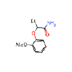 CCC(Oc1ccccc1OC)C(N)=O